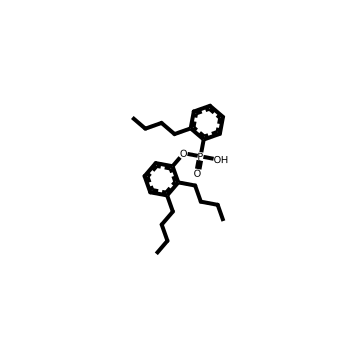 CCCCc1ccccc1P(=O)(O)Oc1cccc(CCCC)c1CCCC